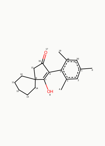 Cc1cc(C)c(C2=C(O)C3(CCCCC3)CC2=O)c(C)c1